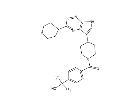 O=C(c1ccc(C(O)(C(F)(F)F)C(F)(F)F)cc1)N1CCC(c2c[nH]c3ncc(C4CCOCC4)nc23)CC1